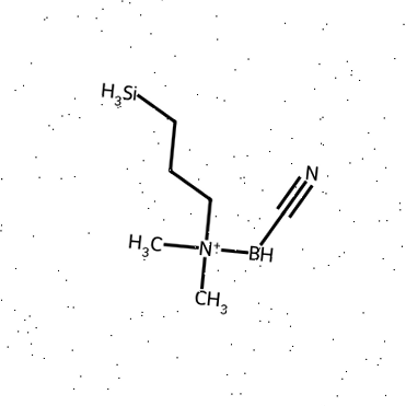 C[N+](C)(BC#N)CCC[SiH3]